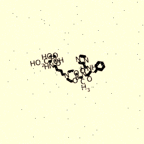 C[C@@H](NC(=O)[C@@H](Cc1ccccc1)NC(=O)c1cnccn1)B1OCCN(CCCC(=O)NC(C(=O)O)P(=O)(O)O)CCO1